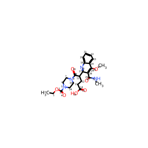 CCOC(=O)N1CCN(C(=O)C(CCC(=O)O)c2nc3ccccc3c(OC)c2C(=O)NC)CC1